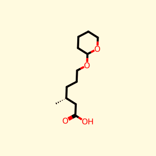 C[C@H](CCCOC1CCCCO1)CC(=O)O